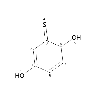 OC1=CC(=S)C(O)C=C1